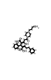 NCCCN1CCN(C(=O)CC2=C(C(=O)O)C(c3c(Cl)cccc3Cl)C(C(=O)O)=C(CCc3ccccc3)N2)CC1